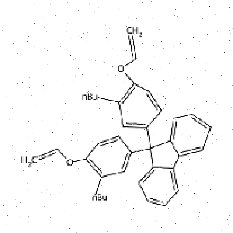 C=COc1ccc(C2(c3ccc(OC=C)c(CCCC)c3)c3ccccc3-c3ccccc32)cc1CCCC